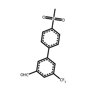 CS(=O)(=O)c1ccc(-c2cc(C=O)cc(C(F)(F)F)c2)cc1